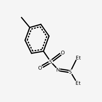 CCS(CC)=NS(=O)(=O)c1ccc(C)cc1